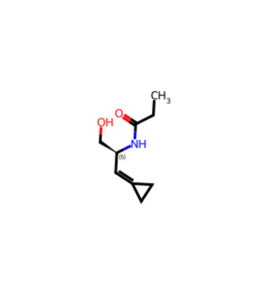 CCC(=O)N[C@@H](C=C1CC1)CO